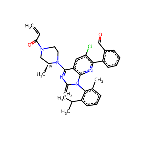 C=CC(=O)N1CCN(C2=NC(=C)N(c3c(C)cccc3C(C)C)c3nc(-c4ccccc4C=O)c(Cl)cc32)[C@@H](C)C1